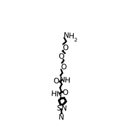 N#Cc1nc2ccc(NC(=O)CCC(=O)NCCCOCCOCCOCCCN)cc2s1